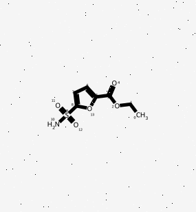 CCOC(=O)c1ccc(S(N)(=O)=O)o1